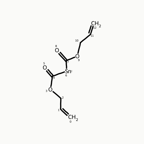 C=CCO[C](=O)[Sn][C](=O)OCC=C